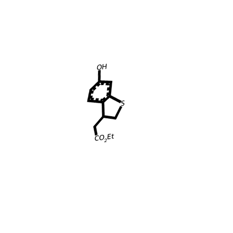 CCOC(=O)CC1CSc2cc(O)ccc21